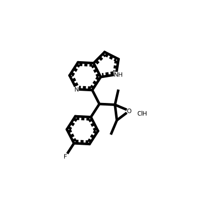 CC1OC1(C)C(c1ccc(F)cc1)c1nccc2cc[nH]c12.Cl